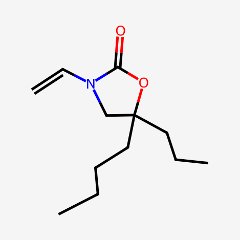 C=CN1CC(CCC)(CCCC)OC1=O